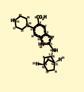 O=C(O)c1cc2nc(N[C@H]3C[C@H]4CC[C@H]3C4)[nH]c2cc1N1CCNCC1